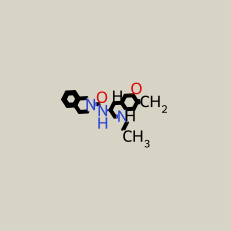 C=C1C[C@@H]2[C@@H](CC1=O)C[C@H](NC(=O)N1CCc3ccccc3C1)CN2CCC